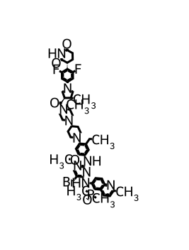 CCc1cc(Nc2ncc(Br)c(Nc3ccc4nc(C)ccc4c3P(C)(C)=O)n2)c(OC)cc1N1CCC(N2CCN(C(=O)[C@H]3CN(c4cc(F)c([C@H]5CCC(=O)NC5=O)c(F)c4)CC3(C)C)CC2)CC1